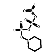 O=[SH](=O)OS(=O)(=O)OS(=O)(=O)ON1CCCCC1